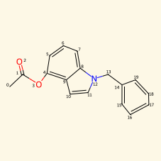 CC(=O)Oc1cccc2c1ccn2Cc1ccccc1